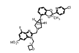 C[C@@]1(c2ccc(Cl)cn2)Oc2cccc([C@H]3[C@@H]4CN(Cc5nc6c(F)cc(C(=O)O)cc6n5C[C@@H]5CCO5)C[C@@H]43)c2O1